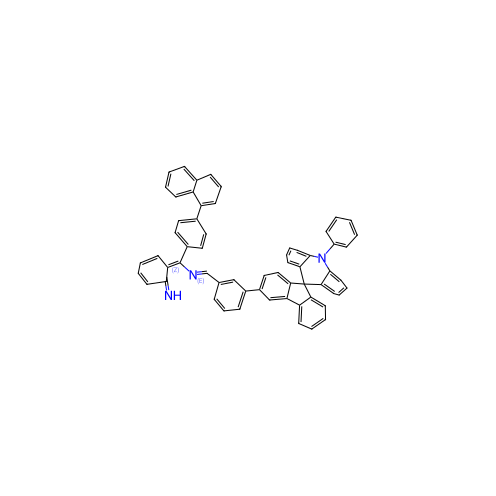 N=C1C=CC=C/C1=C(/N=C/c1cccc(-c2ccc3c(c2)-c2ccccc2C32c3ccccc3N(c3ccccc3)c3ccccc32)c1)c1ccc(-c2cccc3ccccc23)cc1